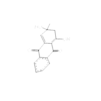 CC1(O)C=C2C(=O)c3ccccc3C(=O)C2=C(O)C1